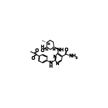 C[C@@H]1CC[C@@H](Nc2nc(Nc3ccc(S(C)(=O)=O)cc3)ncc2C(N)=O)C[C@H]1O